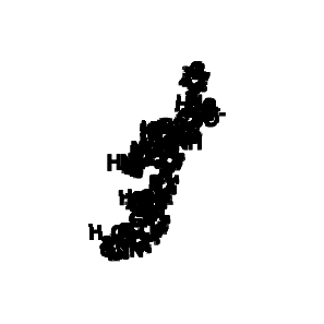 COc1cc(CN2CCN(C3CC4(CCN(c5ccc(C(=O)NS(=O)(=O)c6cc([N+](=O)[O-])c(NCC7CCOCC7)cn6)c(N6c7cc8cc[nH]c8nc7O[C@H]7COCC[C@@H]76)c5)CC4)C3C)[C@H](c3ccccc3C)C2)cnc1N1CCOCC1